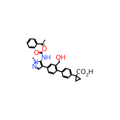 C[C@@H](OC(=O)Nc1c(-c2ccc(-c3ccc(C4(C(=O)O)CC4)cc3)c(CO)c2)cnn1C)c1ccccc1